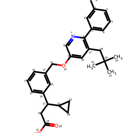 Cc1cccc(-c2ncc(OCc3cccc(C(CC(=O)O)C4CC4)c3)cc2CC(C)(C)C)c1